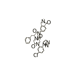 CN1Cc2cc(NC(=O)C(Cc3ccccc3)N3CC(=O)N(c4cc(Cl)ccc4-n4ccnn4)CC3=O)ccc2C1=O